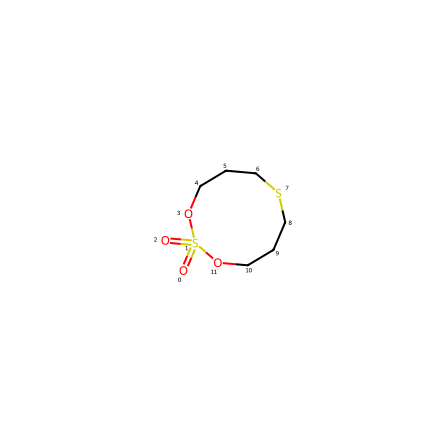 O=S1(=O)OCCCSCCCO1